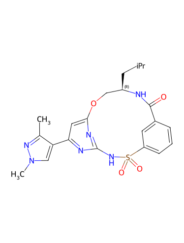 Cc1nn(C)cc1-c1cc2nc(n1)NS(=O)(=O)c1cccc(c1)C(=O)N[C@H](CC(C)C)CO2